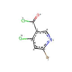 O=C(Cl)c1cnc(Br)cc1Cl